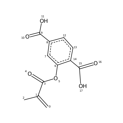 C=C(C)C(=O)Oc1cc(C(=O)O)ccc1C(=O)O